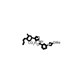 C=C/C=C\C1=C(C)CC(c2csc(NC(=O)c3cccc(N4CC(OC)C4)c3)c2C(=O)O)CC1